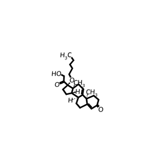 CCCCCO[C@]1(C(=O)CO)CC[C@H]2[C@@H]3CCC4=CC(=O)CC[C@]4(C)C3=CC[C@@]21C